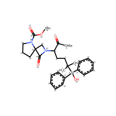 COC(=O)C(CCC(C)(C)[Si](O)(c1ccccc1)c1ccccc1)N1CC2(CCCN2C(=O)OC(C)(C)C)C1=O